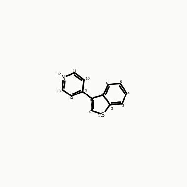 [c]1sc2ccccc2c1-c1ccncc1